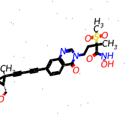 CC(CCn1cnc2cc(C#CC#C[C@]3(C)C[C@H]3CO)ccc2c1=O)(C(=O)NO)S(C)(=O)=O